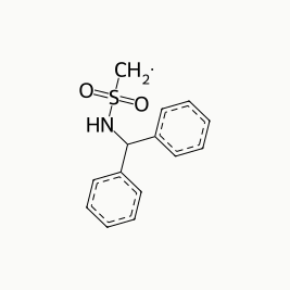 [CH2]S(=O)(=O)NC(c1ccccc1)c1ccccc1